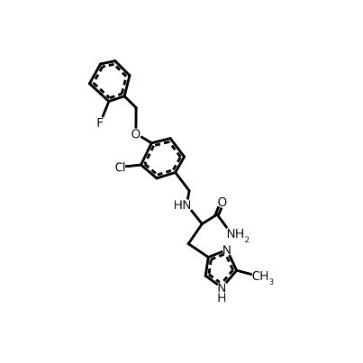 Cc1nc(CC(NCc2ccc(OCc3ccccc3F)c(Cl)c2)C(N)=O)c[nH]1